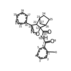 Cc1ccccc1C(=O)NC(=O)C12ON=C(c3cccnc3)C1C1CCC2C1